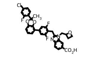 CC1(c2ccc(Cl)cc2F)Oc2cccc(-c3cc(F)c(Cc4nc5ccc(C(=O)O)cc5n4CC4CCO4)c(F)c3)c2O1